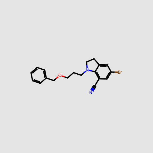 N#Cc1cc(Br)cc2c1N(CCCOCc1ccccc1)CC2